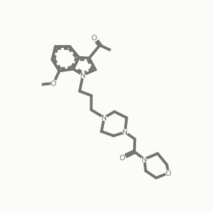 COc1cccc2c(C(C)=O)cn(CCCN3CCN(CC(=O)N4CCOCC4)CC3)c12